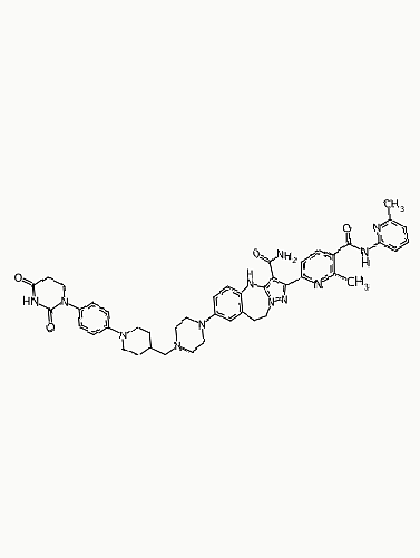 Cc1cccc(NC(=O)c2ccc(-c3nn4c(c3C(N)=O)Nc3ccc(N5CCN(CC6CCN(c7ccc(N8CCC(=O)NC8=O)cc7)CC6)CC5)cc3CC4)nc2C)n1